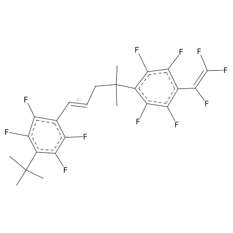 CC(C)(C)c1c(F)c(F)c(/C=C/CC(C)(C)c2c(F)c(F)c(C(F)=C(F)F)c(F)c2F)c(F)c1F